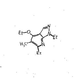 CCOc1c(C)c(CC)nc2c1cnn2CC